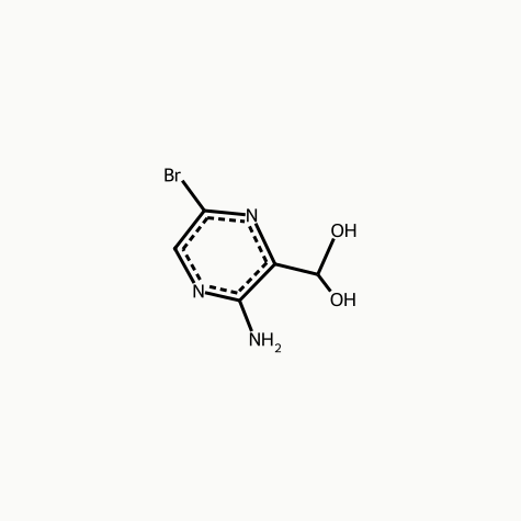 Nc1ncc(Br)nc1C(O)O